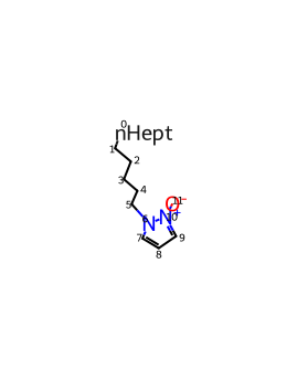 CCCCCCCCCCCCn1ccc[n+]1[O-]